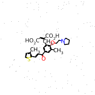 Cc1ccsc1/C=C/C(=O)c1cc(C)c(OCCN2CCCC2)c(C)c1.O=C(O)/C=C/C(=O)O